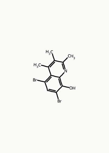 Cc1nc2c(O)c(Br)cc(Br)c2c(C)c1C